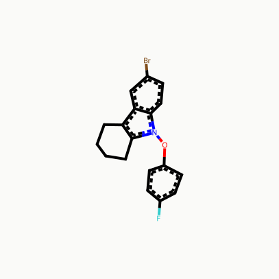 Fc1ccc(On2c3c(c4cc(Br)ccc42)CCCC3)cc1